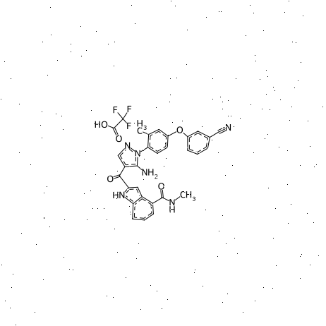 CNC(=O)c1cccc2[nH]c(C(=O)c3cnn(-c4ccc(Oc5cccc(C#N)c5)cc4C)c3N)cc12.O=C(O)C(F)(F)F